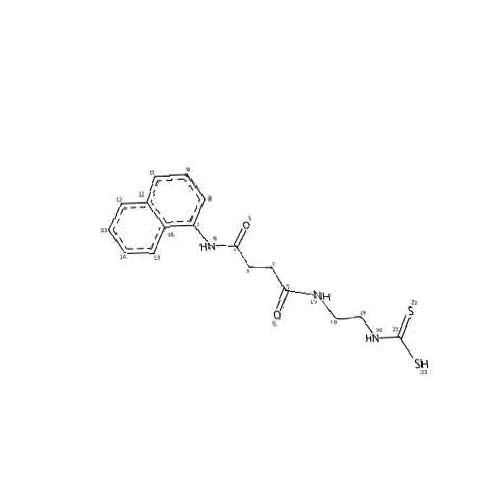 O=C(CCC(=O)Nc1cccc2ccccc12)NCCNC(=S)S